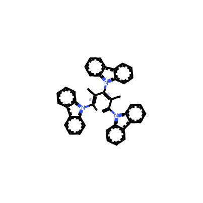 C=C(/C(C)=C(\C(C)=C(/C)n1c2ccccc2c2ccccc21)n1c2ccccc2c2ccccc21)n1c2ccccc2c2ccccc21